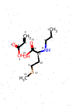 C=CC(=O)O.CCCN[C@@H](CCSC)C(=O)O